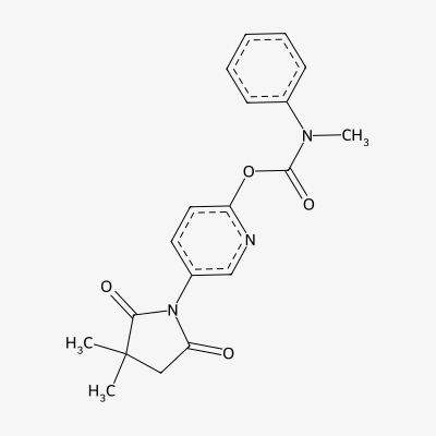 CN(C(=O)Oc1ccc(N2C(=O)CC(C)(C)C2=O)cn1)c1ccccc1